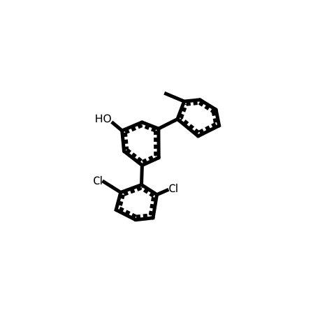 Cc1ccccc1-c1cc(O)cc(-c2c(Cl)cccc2Cl)c1